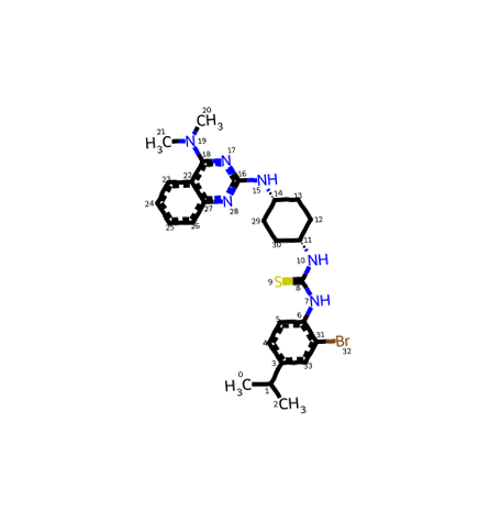 CC(C)c1ccc(NC(=S)N[C@H]2CC[C@@H](Nc3nc(N(C)C)c4ccccc4n3)CC2)c(Br)c1